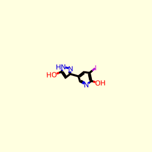 Oc1cc(-c2cnc(O)c(I)c2)n[nH]1